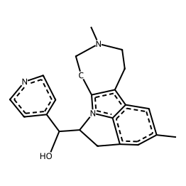 Cc1cc2c3c(c1)c1c(n3C(C(O)c3ccncc3)C2)CCN(C)CC1